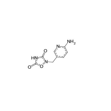 Nc1ccc(Cn2oc(=O)[nH]c2=O)cn1